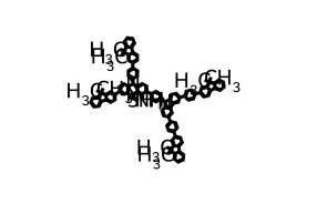 CC1(C)c2ccccc2-c2ccc(-c3ccc(-c4ccc5c(c4)c4cc(-c6ccc(-c7ccc8c(c7)C(C)(C)c7ccccc7-8)cc6)ccc4n5-c4ccc(C5=CC=C(N(c6ccc(-c7ccc8c(c7)C(C)(C)c7ccccc7-8)cc6)c6ccc(-c7ccc8c(c7)C(C)(C)c7ccccc7-8)cc6)/C(=N/S)C5=N)cc4)cc3)cc21